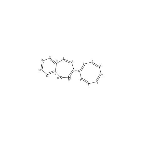 C1=CC=CC=CC=C1.C1=Cc2ccccc2SN=C1